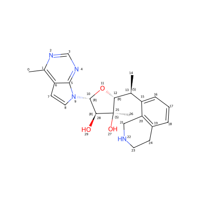 Cc1ncnc2c1ccn2[C@@H]1O[C@H]([C@@H](C)c2cccc3c2CNCC3)[C@@](C)(O)[C@H]1O